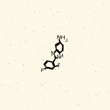 Nc1ccc2[nH]c(-c3ccc(F)cc3F)nc2c1